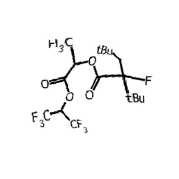 CC(OC(=O)C(F)(CC(C)(C)C)C(C)(C)C)C(=O)OC(C(F)(F)F)C(F)(F)F